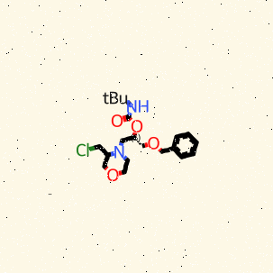 CC(C)(C)NC(=O)O[C@H](COCc1ccccc1)CN1CCOCC1CCl